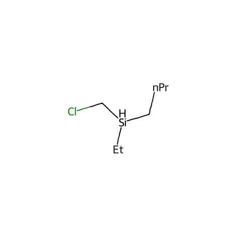 CCCC[SiH](CC)CCl